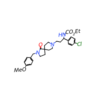 CCOC(=O)NC(CCN1CCC2(CC1)CCN(Cc1ccc(OC)cc1)C2=O)c1ccc(Cl)cc1